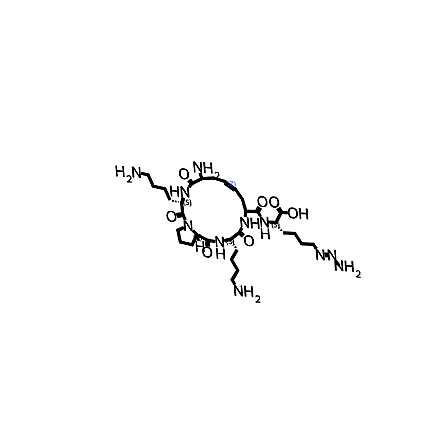 NCCCC[C@@H]1NC(=O)[C@@H]2CCCN2C(=O)[C@H](CCCCN)NC(=O)C(N)C/C=C\CC(C(=O)N[C@@H](CCCCN=NN)C(=O)O)NC1=O